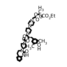 CCOC(=O)OC(C)OC(=O)CN1CCN(C2CCN(C(=O)[C@@H](Cc3cc(C)c(O)c(C)c3)OC(=O)N3CCC(N4CCc5ccccc5NC4=O)CC3)CC2)CC1